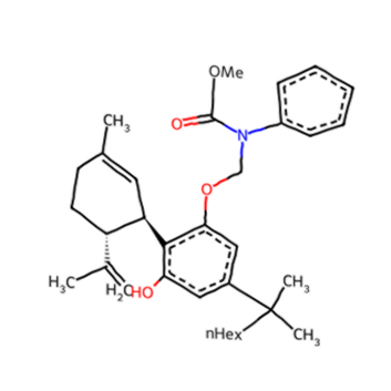 C=C(C)[C@@H]1CCC(C)=C[C@H]1c1c(O)cc(C(C)(C)CCCCCC)cc1OCN(C(=O)OC)c1ccccc1